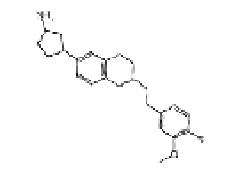 COc1cc(CCC2CCc3cc(C4CCC(N)C4)ccc3C2)ccc1F